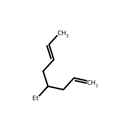 C=CC[C](CC)CC=CC